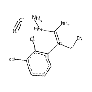 N#CC[N+](=C(N)NN)c1cccc(Cl)c1Cl.[C-]#N